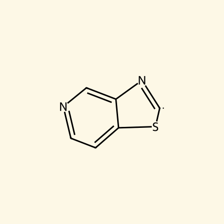 [c]1nc2cnccc2s1